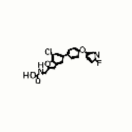 O=C(O)NCc1cc2cc(-c3ccc(Oc4ccc(F)nc4)cc3)cc(Cl)c2o1